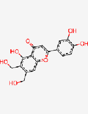 O=c1cc(-c2ccc(O)c(O)c2)oc2cc(CO)c(CO)c(O)c12